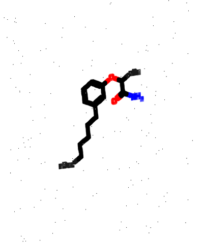 CCCCCCCCCCCCCCCc1cccc(OC(CCCC)C(N)=O)c1